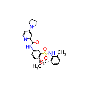 COc1ccc(NC(=O)c2cc(N3CCCC3)ccn2)cc1S(=O)(=O)Nc1c(C)cccc1C